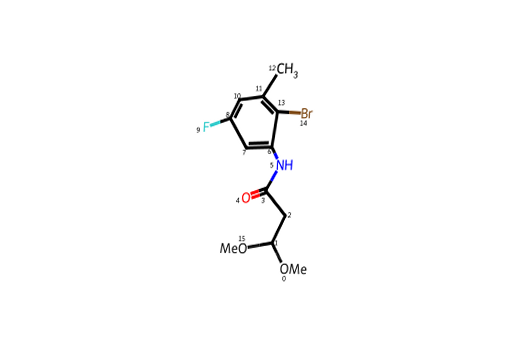 COC(CC(=O)Nc1cc(F)cc(C)c1Br)OC